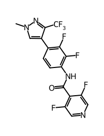 Cn1cc(-c2ccc(NC(=O)c3c(F)cncc3F)c(F)c2F)c(C(F)(F)F)n1